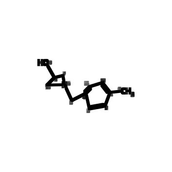 Cc1ccc(CN2CC(O)C2)cc1